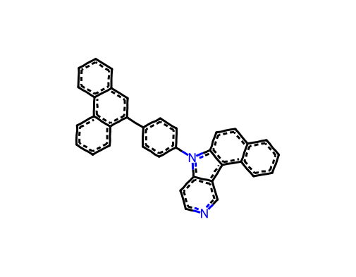 c1ccc2c(c1)cc(-c1ccc(-n3c4ccncc4c4c5ccccc5ccc43)cc1)c1ccccc12